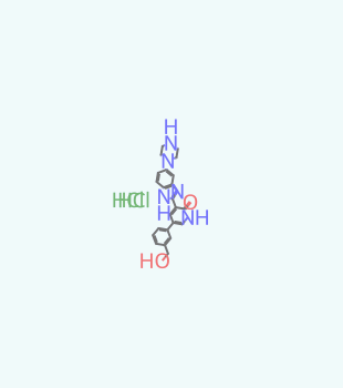 Cl.Cl.O=c1[nH]cc(-c2cccc(CO)c2)cc1-c1nc2cc(N3CCNCC3)ccc2[nH]1